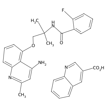 Cc1cc(N)c2c(OCC(C)(C)NC(=O)c3ccccc3F)cccc2n1.O=C(O)c1cnc2ccccc2c1